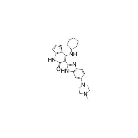 CN1CCN(c2ccc3nc(-c4c(NC5CCCCC5)c5sccc5[nH]c4=O)[nH]c3c2)CC1